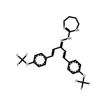 FC(F)(F)Oc1ccc(/C=C/C(/C=C/c2ccc(OC(F)(F)F)cc2)=NNC2=NCCCCN2)cc1